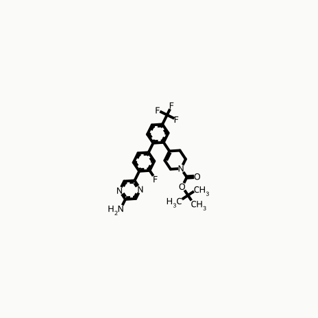 CC(C)(C)OC(=O)N1CC=C(c2cc(C(F)(F)F)ccc2-c2ccc(-c3cnc(N)cn3)c(F)c2)CC1